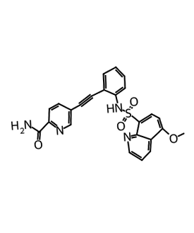 COc1ccc(S(=O)(=O)Nc2ccccc2C#Cc2ccc(C(N)=O)nc2)c2ncccc12